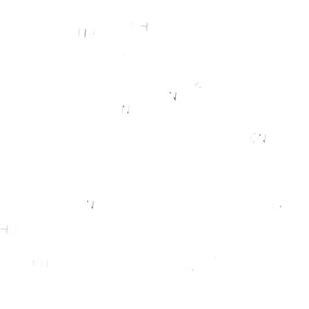 CC1(C)c2ccccc2N(c2ccc(-c3nccc(C#N)c3-c3ccc4c(c3)C(=O)c3ccccc3C4=O)c(N3c4ccccc4C(C)(C)c4ccccc43)c2)c2ccccc21